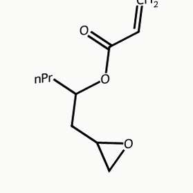 C=CC(=O)OC(CCC)CC1CO1